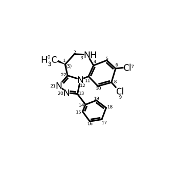 C[C@H]1CNc2cc(Cl)c(Cl)cc2-n2c(-c3ccccc3)nnc21